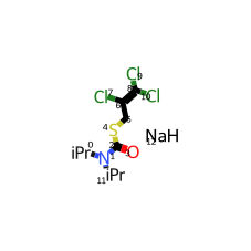 CC(C)N(C(=O)SCC(Cl)=C(Cl)Cl)C(C)C.[NaH]